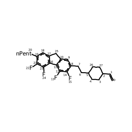 C=CC1CCC(CCc2cc3c(c(F)c2F)-c2c(cc(CCCCC)c(F)c2F)C3)CC1